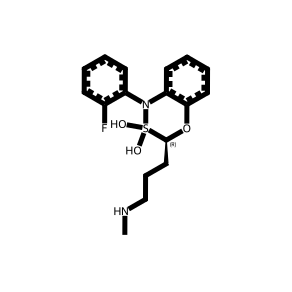 CNCCC[C@@H]1Oc2ccccc2N(c2ccccc2F)S1(O)O